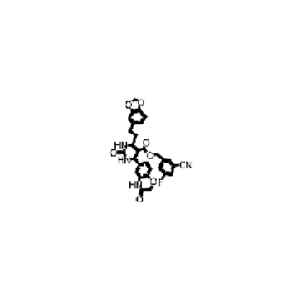 N#Cc1cc(F)cc(COC(=O)C2=C(CCc3ccc4c(c3)OCO4)NC(=O)NC2c2ccc3c(c2)NC(=O)CO3)c1